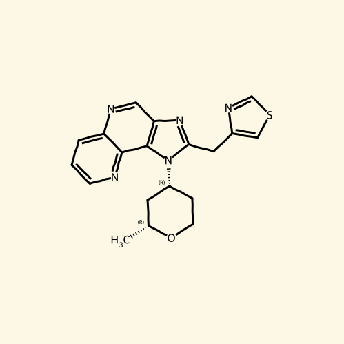 C[C@@H]1C[C@H](n2c(Cc3cscn3)nc3cnc4cccnc4c32)CCO1